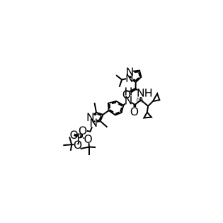 Cc1nn(COP(=O)(OC(C)(C)C)OC(C)(C)C)c(C)c1-c1ccc(NC(=O)[C@@H](NC(=O)c2ccnn2C(C)C)C(C2CC2)C2CC2)cc1